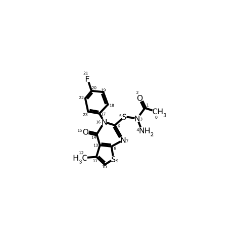 CC(=O)N(N)Sc1nc2scc(C)c2c(=O)n1-c1ccc(F)cc1